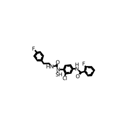 O=C(Nc1ccc(N(S)C(=O)NCCc2ccc(F)cc2)c(Cl)c1)c1ccccc1F